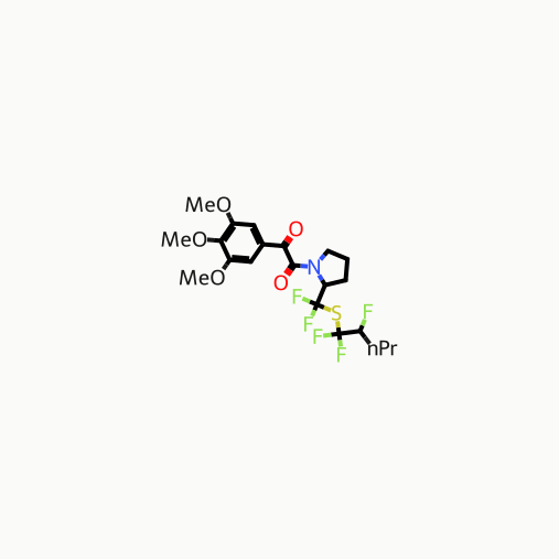 CCCC(F)C(F)(F)SC(F)(F)C1CCCN1C(=O)C(=O)c1cc(OC)c(OC)c(OC)c1